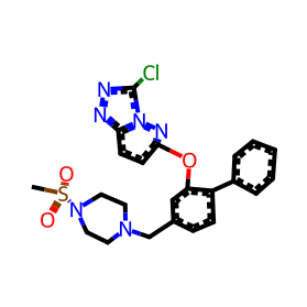 CS(=O)(=O)N1CCN(Cc2ccc(-c3ccccc3)c(Oc3ccc4nnc(Cl)n4n3)c2)CC1